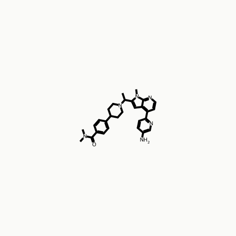 CC(c1cc2c(-c3ccc(N)cn3)ccnc2n1C)N1CCC(c2ccc(C(=O)N(C)C)cc2)CC1